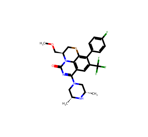 COC[C@H]1CSc2c(-c3ccc(F)cc3)c(C(F)(F)F)cc3c(N4C[C@@H](C)N[C@@H](C)C4)nc(=O)n1c23